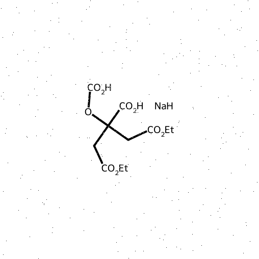 CCOC(=O)CC(CC(=O)OCC)(OC(=O)O)C(=O)O.[NaH]